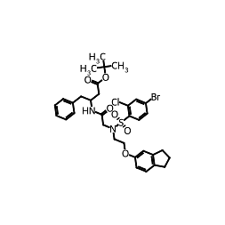 CC(C)(C)OC(=O)CC(Cc1ccccc1)NC(=O)CN(CCOc1ccc2c(c1)CCC2)S(=O)(=O)c1ccc(Br)cc1Cl